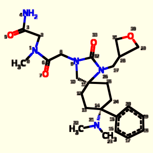 CN(CC(N)=O)C(=O)CN1C[C@]2(CC[C@@](c3ccccc3)(N(C)C)CC2)N(CC2COC2)C1=O